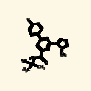 CC(C)(C#N)NC(=O)c1cc(-c2ccc(F)cc2)nc(-c2ccnn2C(C)(C)C)c1